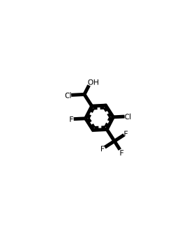 OC(Cl)c1cc(Cl)c(C(F)(F)F)cc1F